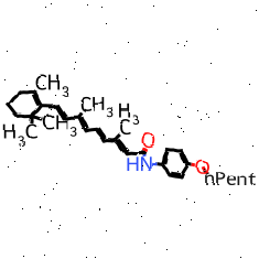 CCCCCOc1ccc(NC(=O)/C=C(C)/C=C/C=C(C)/C=C/C2=C(C)CCCC2(C)C)cc1